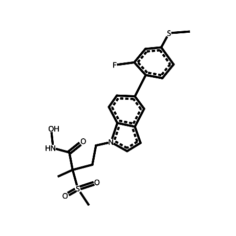 CSc1ccc(-c2ccc3c(ccn3CCC(C)(C(=O)NO)S(C)(=O)=O)c2)c(F)c1